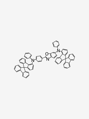 c1ccc(N(c2ccc(-c3nc4ccc(N(c5ccccc5)c5cccc6c5-c5ccccc5C65c6ccccc6-c6ccccc65)cc4o3)cc2)c2cccc3c2-c2ccccc2C32c3ccccc3-c3ccccc32)cc1